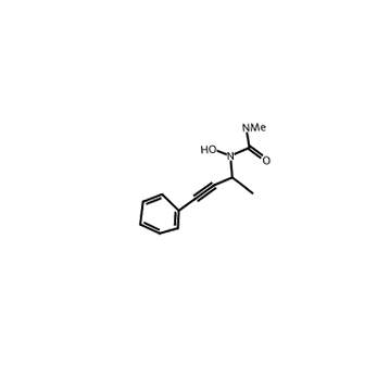 CNC(=O)N(O)C(C)C#Cc1ccccc1